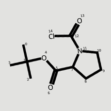 CC(C)(C)OC(=O)C1CCCN1C(=O)Cl